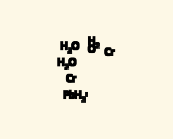 O.O.O.[Cr].[Cr].[PbH2]